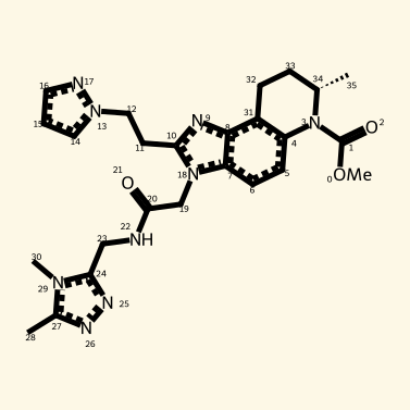 COC(=O)N1c2ccc3c(nc(CCn4cccn4)n3CC(=O)NCc3nnc(C)n3C)c2CC[C@@H]1C